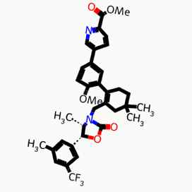 COC(=O)c1ccc(-c2ccc(OC)c(C3=C(CN4C(=O)O[C@H](c5cc(C)cc(C(F)(F)F)c5)[C@@H]4C)CC(C)(C)CC3)c2)cn1